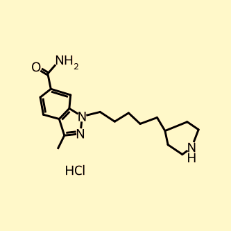 Cc1nn(CCCCCC2CCNCC2)c2cc(C(N)=O)ccc12.Cl